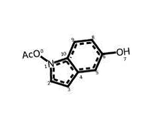 CC(=O)On1ccc2cc(O)ccc21